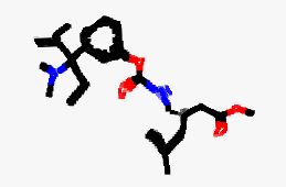 CCC(c1cccc(OC(=O)NC[C@H](CC(=O)OC)CC(C)C)c1)(C(C)C)N(C)C